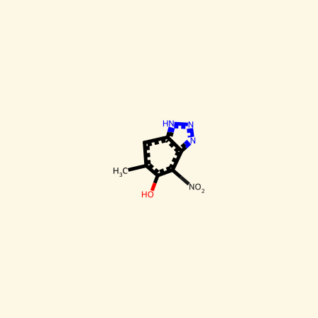 Cc1cc2[nH]nnc2c([N+](=O)[O-])c1O